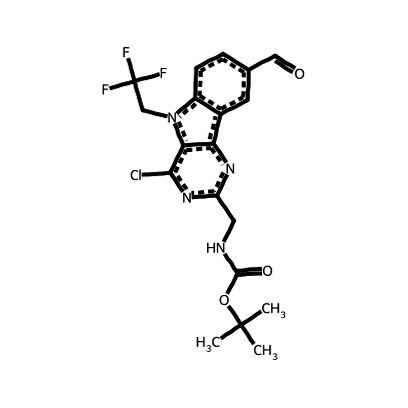 CC(C)(C)OC(=O)NCc1nc(Cl)c2c(n1)c1cc(C=O)ccc1n2CC(F)(F)F